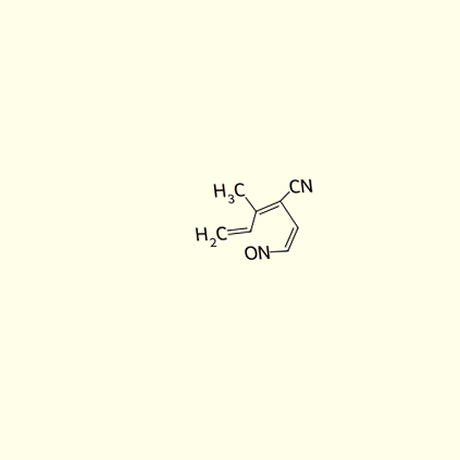 C=C/C(C)=C(C#N)\C=C/N=O